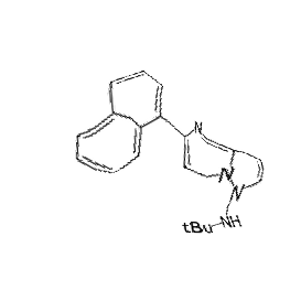 CC(C)(C)Nn1ccc2nc(-c3cccc4ccccc34)cn21